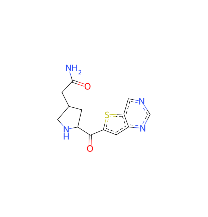 NC(=O)CC1CNC(C(=O)c2cc3ncncc3s2)C1